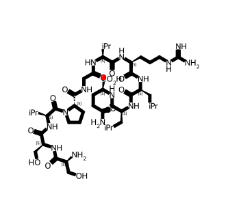 CC(C)C[C@H](NC(=O)[C@H](CC(C)C)NC(=O)[C@H](CCCNC(=N)N)NC(=O)[C@@H](NC(=O)CNC(=O)[C@@H]1CCCN1C(=O)[C@@H](NC(=O)[C@H](CO)NC(=O)[C@@H](N)CO)C(C)C)C(C)C)C(=O)N[C@@H](CCC(N)=O)C(=O)O